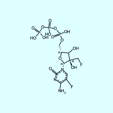 Nc1nc(=O)n([C@@H]2O[C@H](COP(=O)(O)OP(=O)(O)OP(=O)(O)O)C(O)[C@]2(O)CF)cc1F